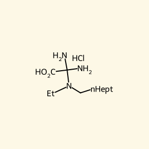 CCCCCCCCN(CC)C(N)(N)C(=O)O.Cl